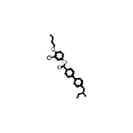 CCCCOc1ccc(OC(=O)c2ccc(-c3ccc(CC(C)CC)cc3)cc2)cc1Cl